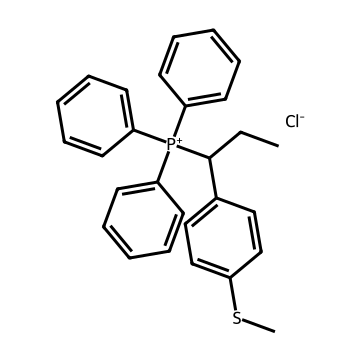 CCC(c1ccc(SC)cc1)[P+](c1ccccc1)(c1ccccc1)c1ccccc1.[Cl-]